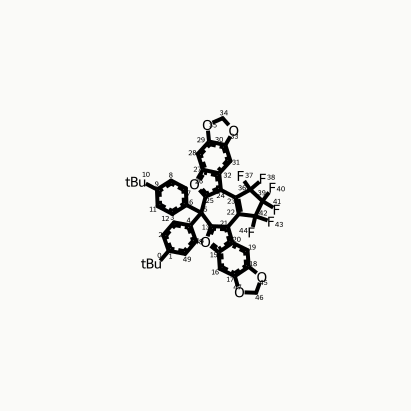 CC(C)(C)c1ccc(C2(c3ccc(C(C)(C)C)cc3)c3oc4cc5c(cc4c3C3=C(c4c2oc2cc6c(cc42)OCO6)C(F)(F)C(F)(F)C3(F)F)OCO5)cc1